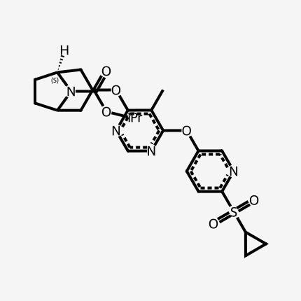 Cc1c(Oc2ccc(S(=O)(=O)C3CC3)nc2)ncnc1OC1CC2CC[C@@H](C1)N2C(=O)OC(C)C